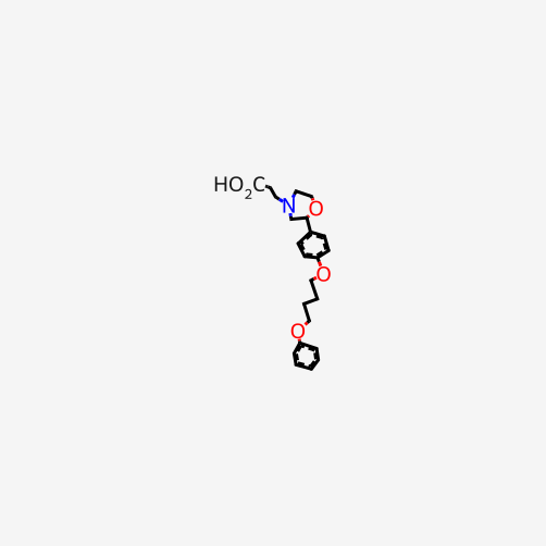 O=C(O)CCN1CCOC(c2ccc(OCCCCOc3ccccc3)cc2)C1